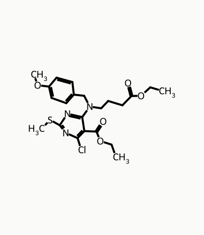 CCOC(=O)CCCN(Cc1ccc(OC)cc1)c1nc(SC)nc(Cl)c1C(=O)OCC